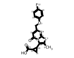 Cc1sc2nc(COc3ccc(F)cc3)cc(=O)n2c1C1CC1C(=O)O